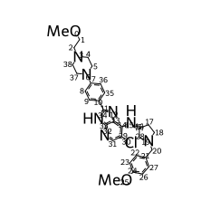 COCCN1CCN(c2ccc(-c3nc4c(N[C@H]5CCN(Cc6ccc(OC)cc6)C5)c(Cl)cnc4[nH]3)cc2)CC1